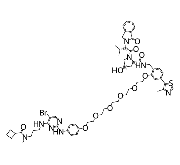 Cc1ncsc1-c1ccc(CNC(=O)[C@@H]2C[C@@H](O)CN2C(=O)[C@H](C(C)C)N2Cc3ccccc3C2=O)c(OCCOCCOCCOCCOCCOc2ccc(Nc3ncc(Br)c(NCCCN(C)C(=O)C4CCC4)n3)cc2)c1